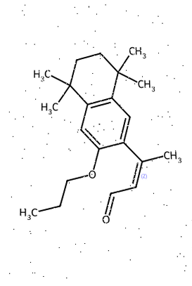 CCCOc1cc2c(cc1/C(C)=C\C=O)C(C)(C)CCC2(C)C